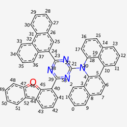 c1ccc2c3c(ccc2c1)-c1cccc2cccc(c12)N3c1nc(-c2cc3ccccc3c3ccccc23)nc(-c2cccc3c2oc2ccccc23)n1